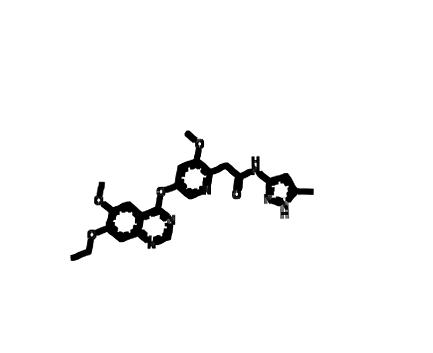 CCOc1cc2ncnc(Oc3cnc(CC(=O)Nc4cc(C)[nH]n4)c(OC)c3)c2cc1OC